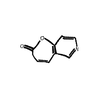 O=c1ccc2cnccc2o1